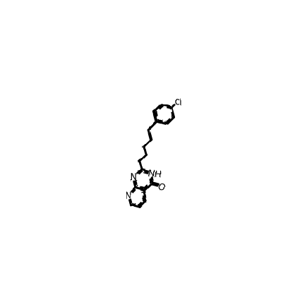 O=c1[nH]c(CCCCCc2ccc(Cl)cc2)nc2ncccc12